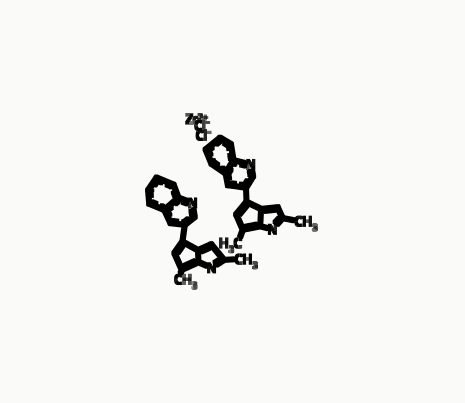 CC1=NC2=C(C)C=C(c3cnc4ccccc4c3)C2=C1.CC1=NC2=C(C)C=C(c3cnc4ccccc4c3)C2=C1.[Cl-].[Cl-].[Zr+2]